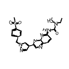 CCN(S)C(=O)Nc1ccc2ncc(-c3cnn(Cc4ccc(S(C)(=O)=O)cc4)c3)nc2n1